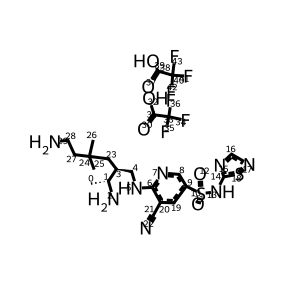 C[C@@H](N)[C@H](CNc1ncc(S(=O)(=O)Nc2ncns2)cc1C#N)CC(C)(C)CCN.O=C(O)C(F)(F)F.O=C(O)C(F)(F)F